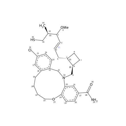 COC(/C=C/C[C@@H]1CC[C@H]1CN1Cc2ccc(Cl)cc2CCCCOc2ccc(C(N)=O)cc21)[C@H](C)CS